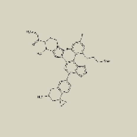 C=CC(=O)N1CCn2nc(-c3nc(-c4ccc5c(c4)CN(C)CC54CC4)c4ccsc4c3-c3c(F)cc(F)cc3OCCOC)cc2C1C